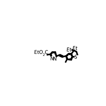 CCOC(=O)Cc1ccc(C#Cc2cc3c(cc2C)SCCC3(CC)CC)nn1